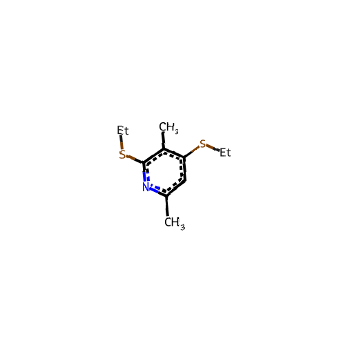 CCSc1cc(C)nc(SCC)c1C